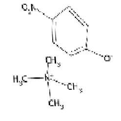 C[N+](C)(C)C.O=[N+]([O-])c1ccc([O-])cc1